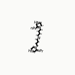 CCCC1CNCCN1CCCC[N]CCCCN1CCNCC1CCC